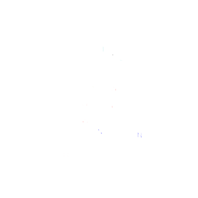 CCN(CC)c1ccc2c(c1)c1oc(=O)c(Sc3ccc(C(F)(F)F)cc3)c(O)c1c(=O)n2Cc1cccc(OC)c1